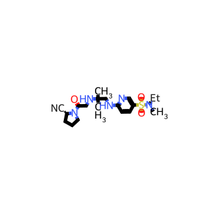 CCN(C)S(=O)(=O)c1ccc(NCC(C)(C)NCC(=O)N2CCC[C@H]2C#N)nc1